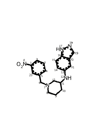 O=[N+]([O-])c1cccc(CN2CCCC(Nc3ccc4[nH]ncc4c3)C2)c1